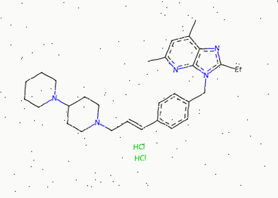 CCc1nc2c(C)cc(C)nc2n1Cc1ccc(C=CCN2CCC(N3CCCCC3)CC2)cc1.Cl.Cl